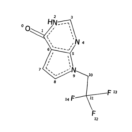 O=c1[nH]cnc2c1ccn2CC(F)(F)F